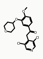 COc1ccc(C(=O)Cc2c(Cl)cncc2Cl)cc1OC1CCOCC1